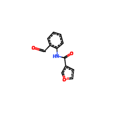 O=[C]c1ccccc1NC(=O)c1ccoc1